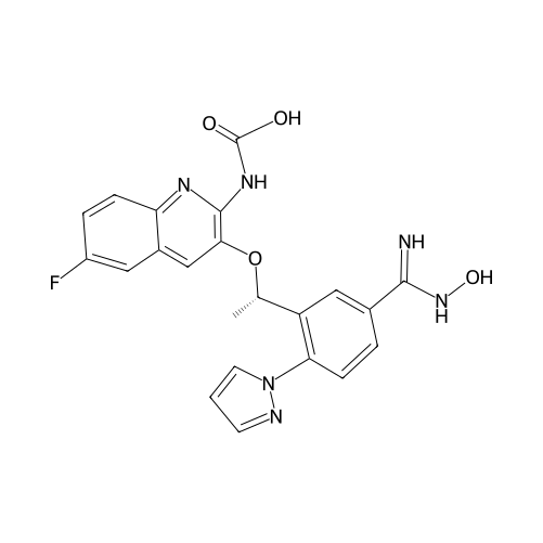 C[C@H](Oc1cc2cc(F)ccc2nc1NC(=O)O)c1cc(C(=N)NO)ccc1-n1cccn1